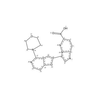 O=C(O)c1ccc2ncc(-c3cc4c(N5CCOCC5)nccc4o3)n2n1